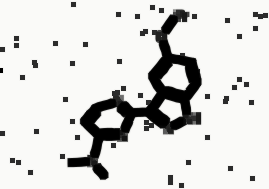 CC(C)Oc1ccc2[nH]nc(-c3nccc(N(C)C)n3)c2c1